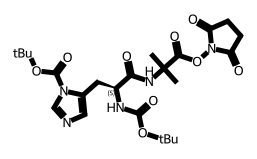 CC(C)(C)OC(=O)N[C@@H](Cc1cncn1C(=O)OC(C)(C)C)C(=O)NC(C)(C)C(=O)ON1C(=O)CCC1=O